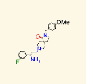 COc1ccc(CN2CCC3(CCN(CC[C@H](N)c4cccc(F)c4)CC3)C2=O)cc1